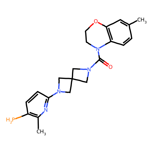 Cc1ccc2c(c1)OCCN2C(=O)N1CC2(C1)CN(c1ccc(P)c(C)n1)C2